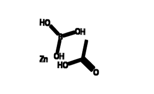 CC(=O)O.OB(O)O.[Zn]